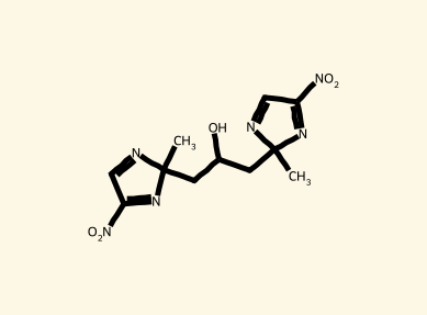 CC1(CC(O)CC2(C)N=CC([N+](=O)[O-])=N2)N=CC([N+](=O)[O-])=N1